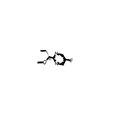 CC[C@@H](OC)c1ncc(F)cn1